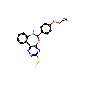 CCOc1ccc(C2Nc3ccccc3-c3nnc(SC)nc3O2)cc1